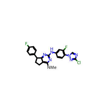 CNc1nc(Nc2ccc(-n3cnc(Cl)n3)c(F)c2)nc2c1CCC2c1ccc(F)cc1